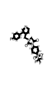 O=C1CN(Cc2ccncc2-c2ccc(F)cc2)C(=O)N1c1ccc(S(=O)(=O)C(F)(F)F)cc1